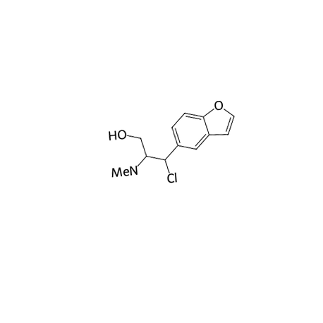 CNC(CO)C(Cl)c1ccc2occc2c1